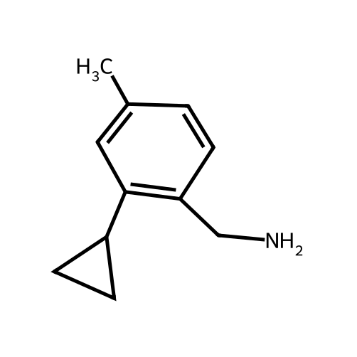 Cc1ccc(CN)c(C2CC2)c1